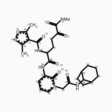 CNC(=O)C(=O)CCC(NC(=O)c1c(C)noc1C)C(=O)Nc1cccn(CC(=O)NC2C3CCCC2CC3)c1=O